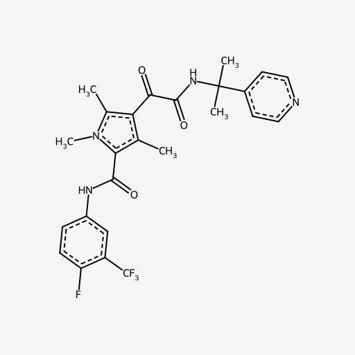 Cc1c(C(=O)C(=O)NC(C)(C)c2ccncc2)c(C)n(C)c1C(=O)Nc1ccc(F)c(C(F)(F)F)c1